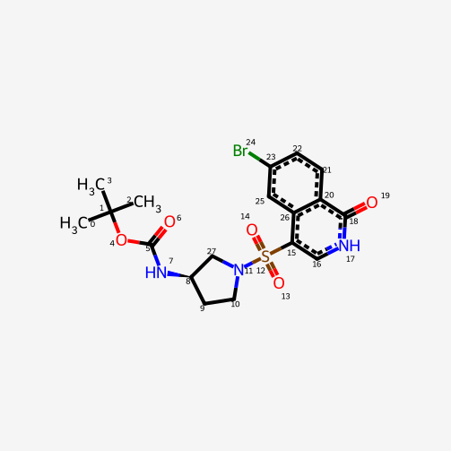 CC(C)(C)OC(=O)N[C@@H]1CCN(S(=O)(=O)c2c[nH]c(=O)c3ccc(Br)cc23)C1